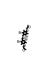 Cc1c(Br)c(COCc2c(Br)c(C)c(OCC3CO3)c(C)c2Br)c(Br)c(C)c1OCC1CO1